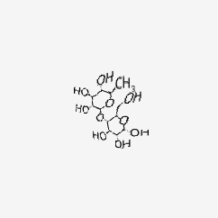 C[C@H]1O[C@@H](O[C@H]2[C@H](O)[C@@H](O)[C@@H](O)O[C@@H]2CO)[C@H](O)[C@@H](O)[C@@H]1O